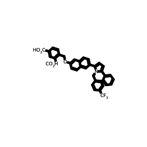 O=C(O)c1ccc(COc2ccc3cc(-c4ccc(-c5ccccc5)n4Cc4ccc(C(F)(F)F)cc4)ccc3c2)c(C(=O)O)c1